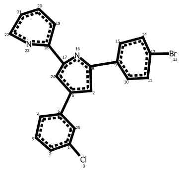 Clc1cccc(-c2cc(-c3ccc(Br)cc3)nc(-c3ccccn3)c2)c1